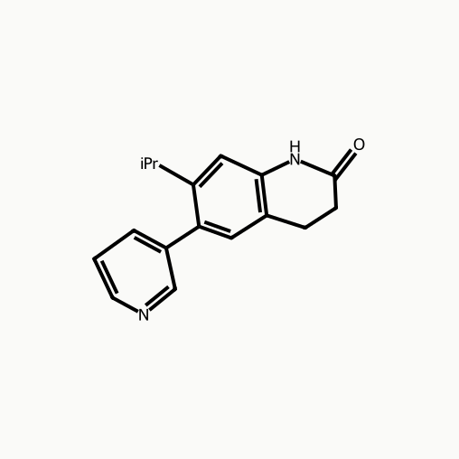 CC(C)c1cc2c(cc1-c1cccnc1)CCC(=O)N2